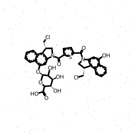 O=C(O)C1O[C@@H](Oc2cc3c(c4ccccc24)[C@H](CCl)CN3C(=O)c2ccc(C(=O)N3C[C@@H](CCl)c4c3cc(O)c3ccccc43)s2)C(O)[C@@H](O)[C@@H]1O